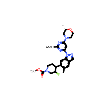 COc1nc(N2CCO[C@@H](C)C2)cc(-n2ncc3cc(C)c(C4CCN(C(=O)OC(C)(C)C)CC4F)cc32)n1